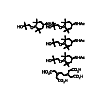 CC(=O)NC1CC(C)(C)N(OCC(C)(C)O)C(C)(C)C1.CC(=O)NC1CC(C)(C)N(OCC(C)(C)O)C(C)(C)C1.CC(=O)NC1CC(C)(C)N(OCC(C)(C)O)C(C)(C)C1.CC(=O)NC1CC(C)(C)N(OCC(C)(C)O)C(C)(C)C1.O=C(O)CN(CCN(CC(=O)O)CC(=O)O)CC(=O)O